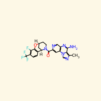 Cc1ncn2c1c(N)nc1cnc(C(=O)N3CC[C@H]4C[C@@H]3c3ccc(C(F)(F)F)c(F)c3O4)cc12